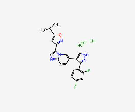 CC(C)c1cc(-c2cnc3ccc(-c4c[nH]nc4-c4ccc(F)cc4F)cn23)no1.Cl.Cl.Cl